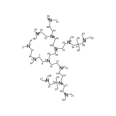 CN(C)CCN(C)CCN(CCN(C)CCN(CCN(C)C)C(C)(C)CN(C)C)CCN(CCN(C)CC(C)(C)CN(C)C)CCN(CCN(C)C)CCN(C)C